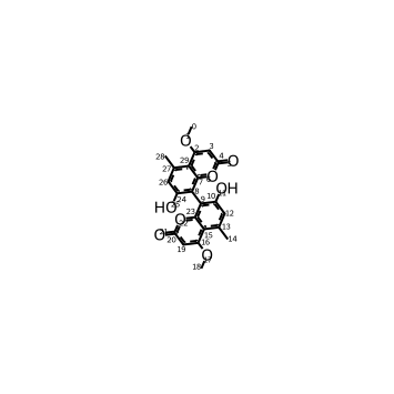 COc1cc(=O)oc2c(-c3c(O)cc(C)c4c(OC)cc(=O)oc34)c(O)cc(C)c12